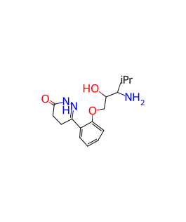 CC(C)C(N)C(O)COc1ccccc1C1=NNC(=O)CC1